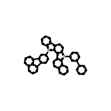 c1ccc(-c2cccc(-n3c4ccc5c6ccccc6n(-c6ccc7c(c6)-c6cccc8cccc-7c68)c5c4c4ccc5ccccc5c43)c2)cc1